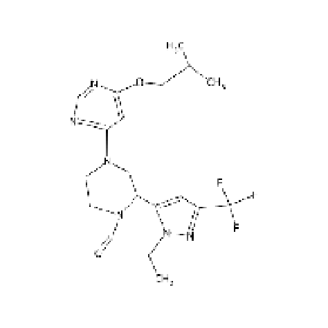 CCn1nc(C(F)(F)F)cc1C1CN(c2cc(OCC(C)C)ncn2)CCN1C=O